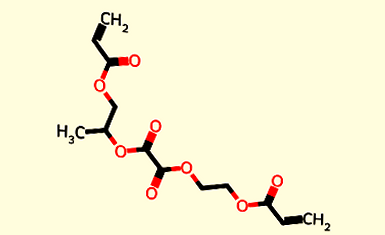 C=CC(=O)OCCOC(=O)C(=O)OC(C)COC(=O)C=C